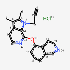 C#CCn1c(C)c(C)c2ccnc(Oc3cccc4cnccc34)c21.Cl